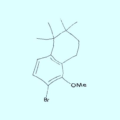 COc1c(Br)ccc2c1CCC(C)(C)C2(C)C